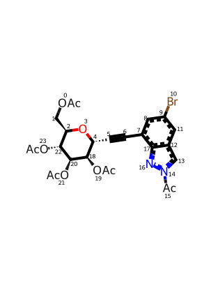 CC(=O)OC[C@H]1O[C@H](C#Cc2cc(Br)cc3cn(C(C)=O)nc23)[C@@H](OC(C)=O)[C@@H](OC(C)=O)[C@@H]1OC(C)=O